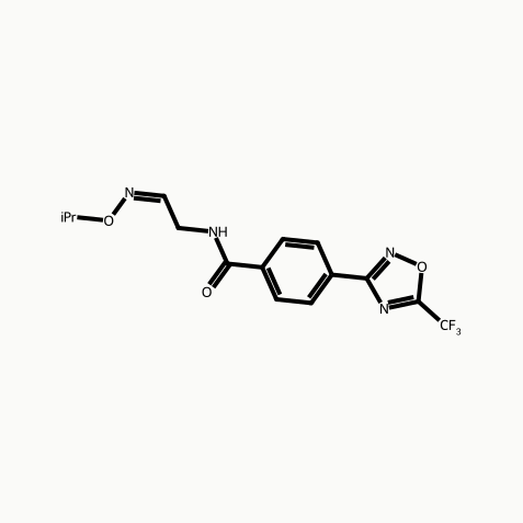 CC(C)O/N=C\CNC(=O)c1ccc(-c2noc(C(F)(F)F)n2)cc1